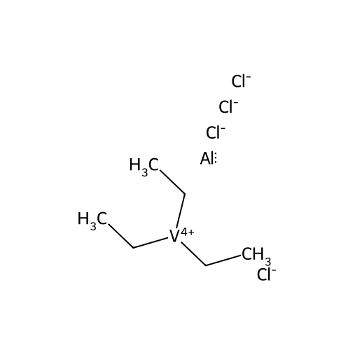 C[CH2][V+4]([CH2]C)[CH2]C.[Al].[Cl-].[Cl-].[Cl-].[Cl-]